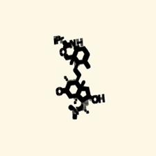 CC1=CC[C@@H]2N=C(C(C)C)OC[C@@]2(C)[C@@H]1CC[C@@H]1[C@@H](C)C(=O)C[C@]2(C)[C@@H]([C@H](C)N(C)C)[C@H](O)C[C@@]12C